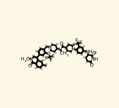 CN(C(=O)C1CCN(c2ccc(NC3CCC(=O)NC3=O)cc2C(F)(F)F)CC1)C1CCN(Cc2ccc(-c3cn(C)c(=O)c4ccc(F)cc34)cc2OC(F)(F)F)CC1